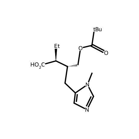 CC[C@H](C(=O)O)[C@H](COC(=O)C(C)(C)C)Cc1cncn1C